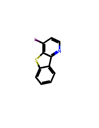 Ic1ccnc2c1sc1ccccc12